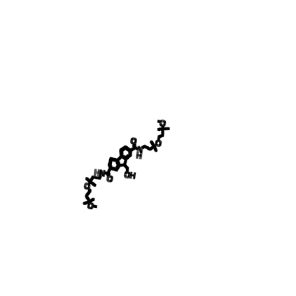 COC(C)(C)CCOC(C)(C)CCNC(=O)c1ccc2c(c1)C(CO)c1cc(C(=O)NCCC(C)(C)OCCC(C)(C)OC)ccc1-2